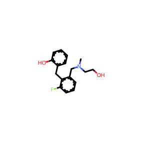 CN(CCO)Cc1cccc(F)c1Cc1ccccc1O